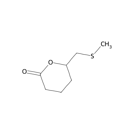 CSCC1CCCC(=O)O1